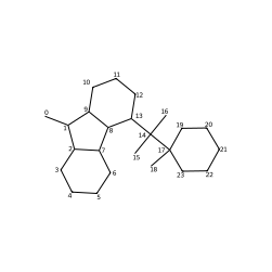 CC1C2CCCCC2C2C1CCCC2C(C)(C)C1(C)CCCCC1